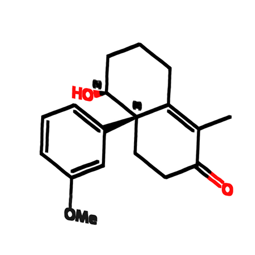 COc1cccc([C@]23CCC(=O)C(C)=C2CCC[C@@H]3O)c1